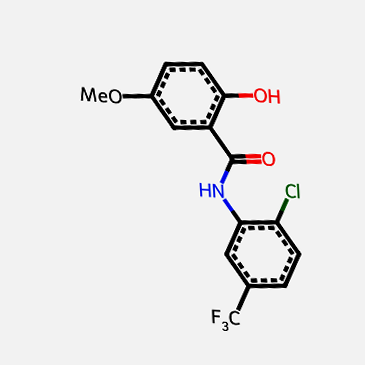 COc1ccc(O)c(C(=O)Nc2cc(C(F)(F)F)ccc2Cl)c1